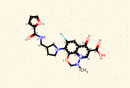 CN1COc2c(N3CCC(CNC(=O)c4ccco4)C3)c(F)cc3c(=O)c(C(=O)O)cn1c23